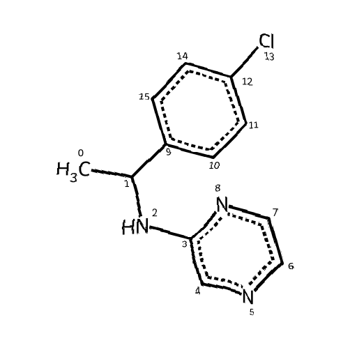 CC(Nc1cnccn1)c1ccc(Cl)cc1